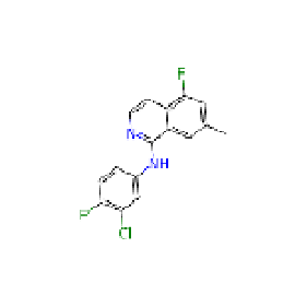 Cc1cc(F)c2ccnc(Nc3ccc(F)c(Cl)c3)c2c1